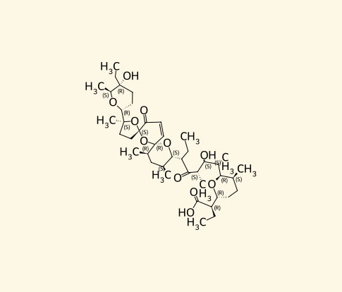 CCC(C(=O)[C@@H](C)[C@@H](O)[C@H](C)[C@@H]1O[C@@H]([C@@H](CC)C(=O)O)CC[C@@H]1C)[C@H]1O[C@]2(C=CC(=O)[C@]3(CC[C@@](C)([C@H]4CC[C@](O)(CC)[C@H](C)O4)O3)O2)[C@H](C)C[C@@H]1C